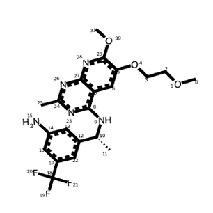 COCCOc1cc2c(N[C@H](C)c3cc(N)cc(C(F)(F)F)c3)nc(C)nc2nc1OC